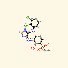 CNS(=O)(=O)c1cccc(Nc2nsnc2Nc2cccc(Cl)c2Cl)c1O